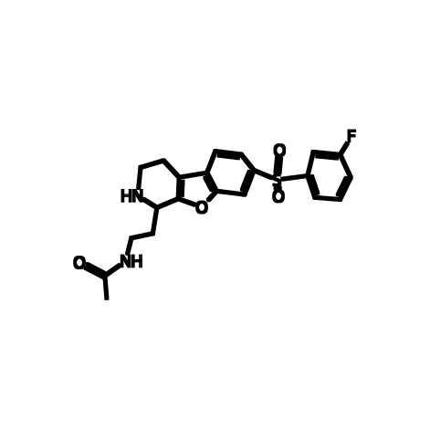 CC(=O)NCCC1NCCc2c1oc1cc(S(=O)(=O)c3cccc(F)c3)ccc21